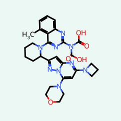 Cc1cccc2nc(N(C(=O)O)C(=O)O)nc(N3CCCCC3c3cc4nc(N5CCC5)cc(N5CCOCC5)n4n3)c12